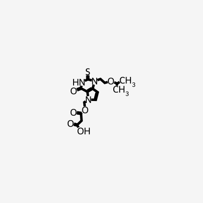 CC(C)OCCn1c(=S)[nH]c(=O)c2c1ccn2COC(=O)CC(=O)O